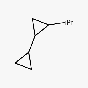 CC(C)C1C[C]1C1CC1